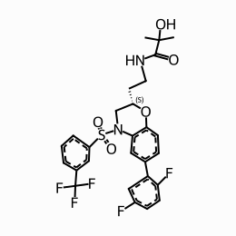 CC(C)(O)C(=O)NCC[C@H]1CN(S(=O)(=O)c2cccc(C(F)(F)F)c2)c2cc(-c3cc(F)ccc3F)ccc2O1